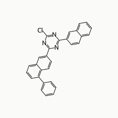 Clc1nc(-c2ccc3ccccc3c2)nc(-c2ccc3c(-c4ccccc4)cccc3c2)n1